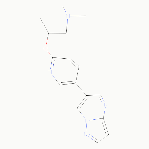 CC(CN(C)C)Oc1ccc(-c2cnc3ccnn3c2)cn1